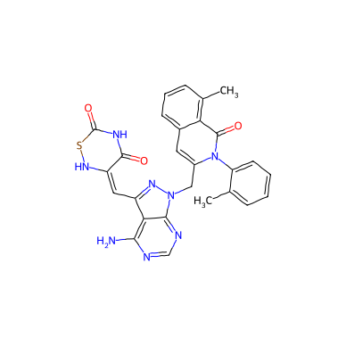 Cc1ccccc1-n1c(Cn2nc(/C=C3/NSC(=O)NC3=O)c3c(N)ncnc32)cc2cccc(C)c2c1=O